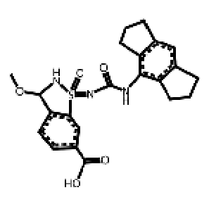 COC1NS(=O)(=NC(=O)Nc2c3c(cc4c2CCC4)CCC3)c2cc(C(=O)O)ccc21